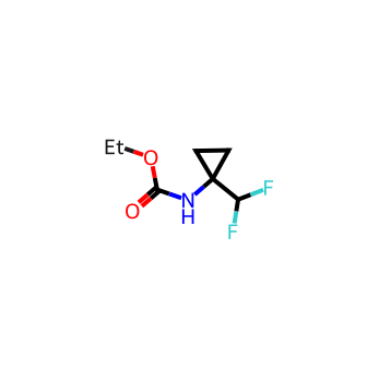 CCOC(=O)NC1(C(F)F)CC1